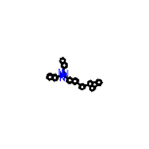 c1cc(-c2ccc3cc(-c4nc(-c5ccc6ccccc6c5)nc(-c5ccc6ccccc6c5)n4)ccc3c2)cc(-c2ccc3c4c(cccc24)-c2ccccc2-3)c1